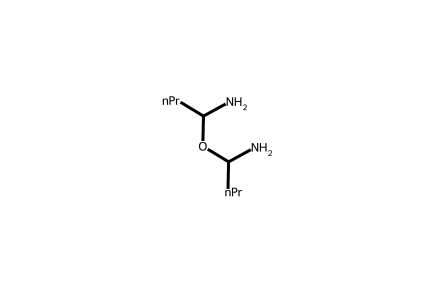 CCCC(N)OC(N)CCC